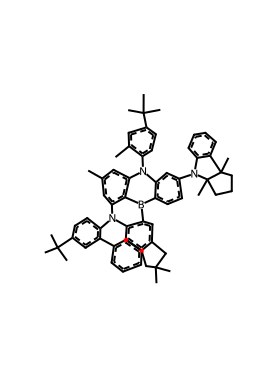 Cc1cc2c3c(c1)N(c1ccc(C(C)(C)C)cc1-c1ccccc1)c1cc4c(cc1B3c1ccc(N3c5ccccc5C5(C)CCCC35C)cc1N2c1ccc(C(C)(C)C)cc1C)CC(C)(C)C4